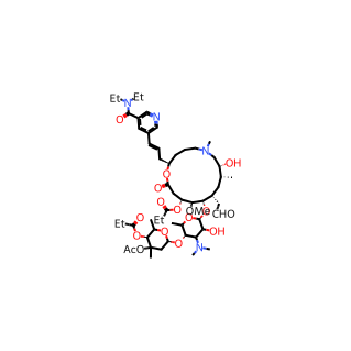 CCC(=O)O[C@@H]1CC(=O)O[C@@H](C/C=C/c2cncc(C(=O)N(CC)CC)c2)CCCN(C)C[C@H](O)[C@H](C)C[C@H](CC=O)[C@H](O[C@@H]2OC(C)[C@@H](O[C@H]3CC(C)(OC(C)=O)[C@@H](OC(=O)CC)C(C)O3)C(N(C)C)C2O)[C@H]1OC